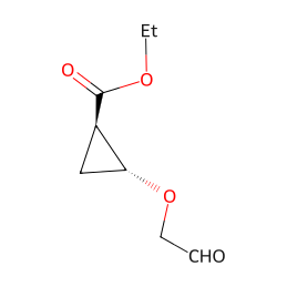 CCOC(=O)[C@@H]1C[C@H]1OCC=O